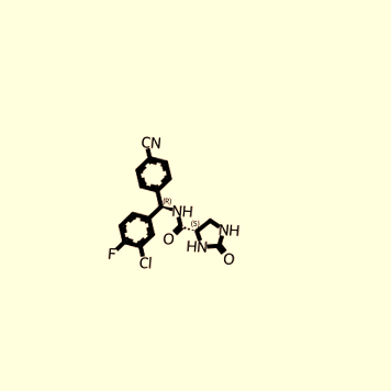 N#Cc1ccc([C@@H](NC(=O)[C@@H]2CNC(=O)N2)c2ccc(F)c(Cl)c2)cc1